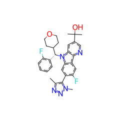 Cc1nnn(C)c1-c1cc2c(cc1F)c1ncc(C(C)(C)O)cc1n2[C@H](c1ccccc1F)C1CCOCC1